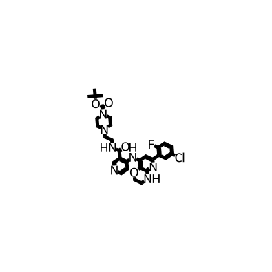 CC(C)(C)OC(=O)N1CCN(CCNC(=O)c2cnccc2Nc2cc(-c3cc(Cl)ccc3F)nc3c2OCCN3)CC1